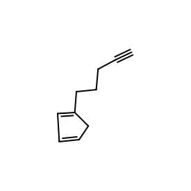 C#CCCCC1=CC=CC1